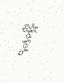 C=C/C(=C\c1c(Nc2ccc(C(=O)Nc3ccc(Nc4ccncc4)cc3)nc2)ccnc1C)C(=O)O